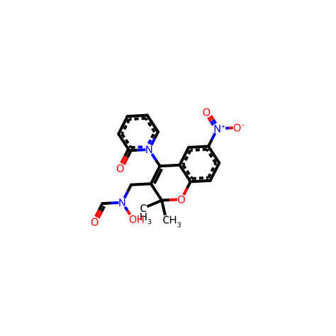 CC1(C)Oc2ccc([N+](=O)[O-])cc2C(n2ccccc2=O)=C1CN(O)C=O